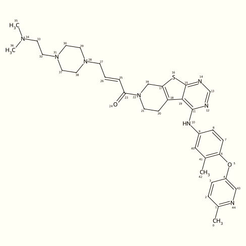 Cc1ccc(Oc2ccc(Nc3ncnc4sc5c(c34)CCN(C(=O)/C=C/CN3CCN(CCN(C)C)CC3)C5)cc2C)cn1